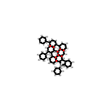 c1ccc(-c2ccc(-c3ccccc3N(c3ccc4c(c3)c3ccccc3n4-c3ccccc3)c3cccc(-c4ccccc4)c3-c3ccccc3-c3ccccc3)cc2)cc1